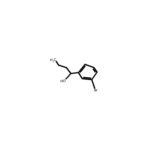 CCCC(O)c1cccc(Br)c1